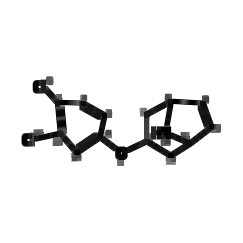 Clc1ccc(OC2CC3C=CC(C2)N3)cc1Cl